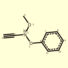 C#C[SiH](OC)Oc1ccccc1